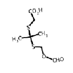 CC(C)(SCOC=O)SCC(=O)O